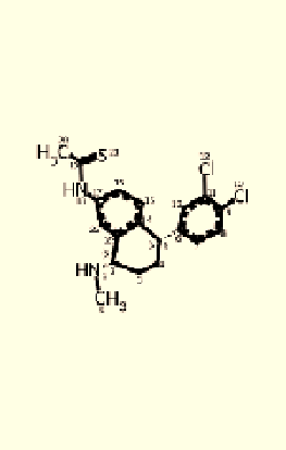 CN[C@H]1CC[C@@H](c2ccc(Cl)c(Cl)c2)c2ccc(NC(C)=S)cc21